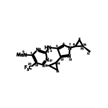 CNc1nc(Nc2cn(C3C[C@H]3C)nc2C2CC2)ncc1C(F)(F)F